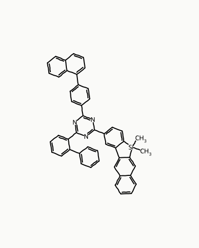 C[Si]1(C)c2ccc(-c3nc(-c4ccc(-c5cccc6ccccc56)cc4)nc(-c4ccccc4-c4ccccc4)n3)cc2-c2cc3ccccc3cc21